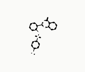 O=c1oc(-c2ccccc2NS(=O)(=O)c2ccc([N+](=O)[O-])cc2)nc2ccccc12